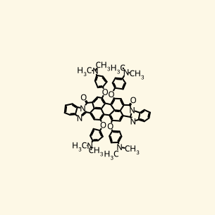 CN(C)c1ccc(Oc2cc3c(=O)n4c5ccccc5nc4c4cc(Oc5ccc(N(C)C)cc5)c5c6c(Oc7ccc(N(C)C)cc7)cc7c8c(cc(Oc9ccc(N(C)C)cc9)c(c2c5c34)c68)c(=O)n2c3ccccc3nc72)cc1